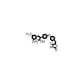 Cc1cc(C)cc(C=C(C(=O)O)c2ccc(Oc3ccc(C=C4SC(=O)NC4=O)cc3)cc2)c1